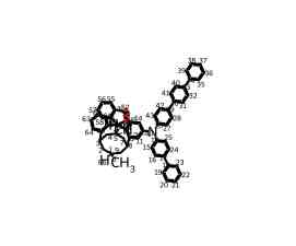 C[C@@H]1CC2C[C@H](C)CC(C1)c1cc(N(c3ccc(-c4ccccc4)cc3)c3ccc(-c4ccc(-c5ccccc5)cc4)cc3)ccc1C1(c3ccccc3-c3ccccc31)c1ccccc12